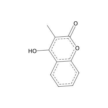 Cc1c(O)c2ccccc2oc1=O